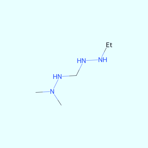 CCNNCNN(C)C